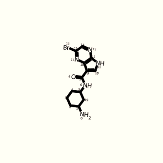 NC1CCCC(NC(=O)c2c[nH]c3ncc(Br)nc23)C1